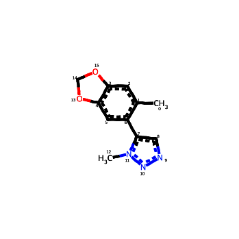 Cc1cc2c(cc1-c1cnnn1C)OCO2